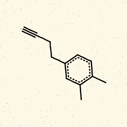 [C]#CCCc1ccc(C)c(C)c1